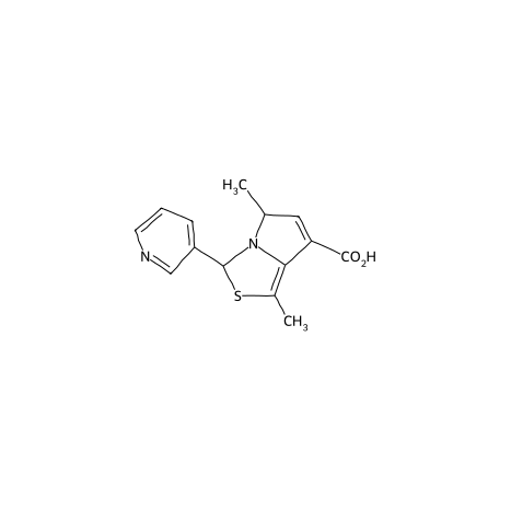 CC1=C2C(C(=O)O)=CC(C)N2C(c2cccnc2)S1